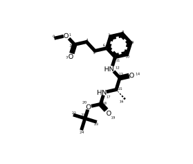 COC(=O)CCc1ccccc1NC(=O)[C@H](C)NC(=O)OC(C)(C)C